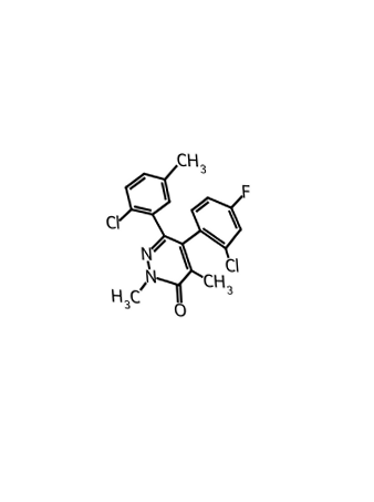 Cc1ccc(Cl)c(-c2nn(C)c(=O)c(C)c2-c2ccc(F)cc2Cl)c1